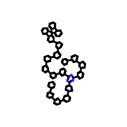 c1ccc(-c2cccc(-c3cccc(-c4cccc(-c5ccc(-c6nc(-c7cccc(-c8cccc(-c9cccc(-c%10ccccc%10)c9)c8)c7)nc(-c7cccc(-c8cccc(-c9cccc(-c%10cccc(-c%11cccc(-c%12cccc(-c%13ccc%14c(c%13)C%13(c%15ccccc%15-c%15ccccc%15%13)c%13ccccc%13-%14)c%12)c%11)c%10)c9)c8)c7)n6)cc5)c4)c3)c2)cc1